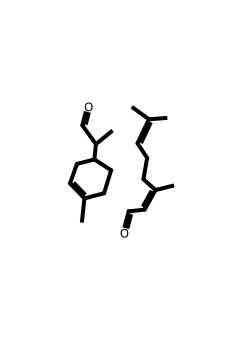 CC(C)=CCC/C(C)=C\C=O.CC1=CCC(C(C)C=O)CC1